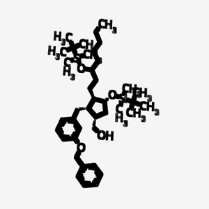 CCCCCC(CC[C@@H]1[C@@H](Cc2cccc(OCc3ccccc3)c2)[C@@H](CO)C[C@H]1O[Si](C)(C)C(C)(C)C)O[Si](C)(C)C(C)(C)C